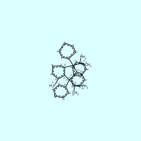 CC(P)C(c1ccccc1)(c1ccccc1)c1cccc(P)c1C(c1ccccc1)(c1ccccc1)C(C)P